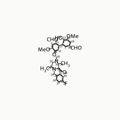 COc1cc(C=O)c(-c2cc(C=O)cc(OC)c2O)cc1OCN1CC(C)N(Cc2ccc(F)cc2)C(=C=O)C1C